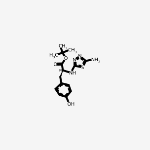 CC(C)(C)OC(=O)[C@H](Cc1ccc(O)cc1)Nc1nnc(N)s1